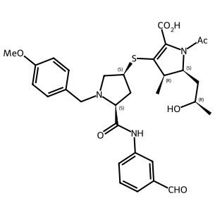 COc1ccc(CN2C[C@@H](SC3=C(C(=O)O)N(C(C)=O)[C@@H](C[C@@H](C)O)[C@H]3C)C[C@H]2C(=O)Nc2cccc(C=O)c2)cc1